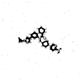 CN(C)c1ccc([C@H]2CC[C@H](CN(C(=O)C3CCCCC3)c3cccc(-c4cnn(C5CC5)c4)c3)CC2)cn1